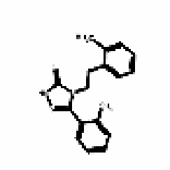 Cc1ccccc1-c1n[nH]c(=S)n1CCc1ccccc1C(=O)O